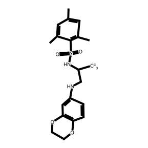 Cc1cc(C)c(S(=O)(=O)NC(CNc2ccc3c(c2)OCCO3)C(F)(F)F)c(C)c1